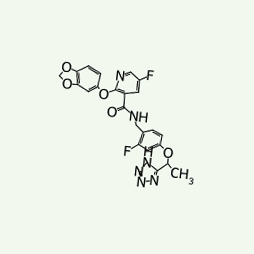 CC(Oc1ccc(CNC(=O)c2cc(F)cnc2Oc2ccc3c(c2)OCO3)c(F)c1)c1nnn[nH]1